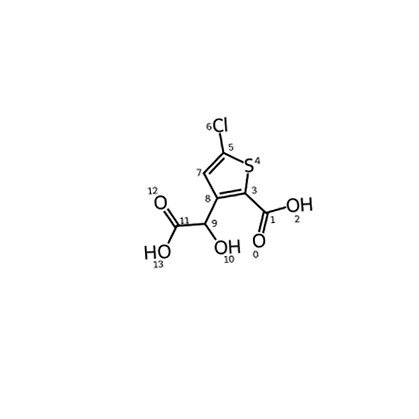 O=C(O)c1sc(Cl)cc1C(O)C(=O)O